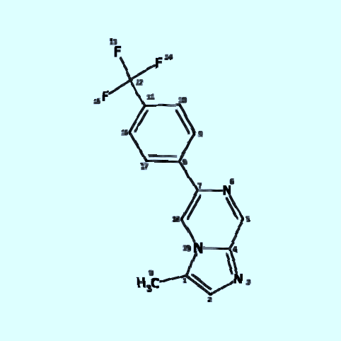 Cc1cnc2cnc(-c3ccc(C(F)(F)F)cc3)cn12